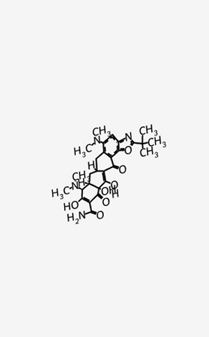 CN(C)c1cc2nc(C(C)(C)C)oc2c2c1C[C@H]1C[C@H]3[C@H](N(C)C)C(O)=C(C(N)=O)C(=O)[C@@]3(O)C(O)=C1C2=O